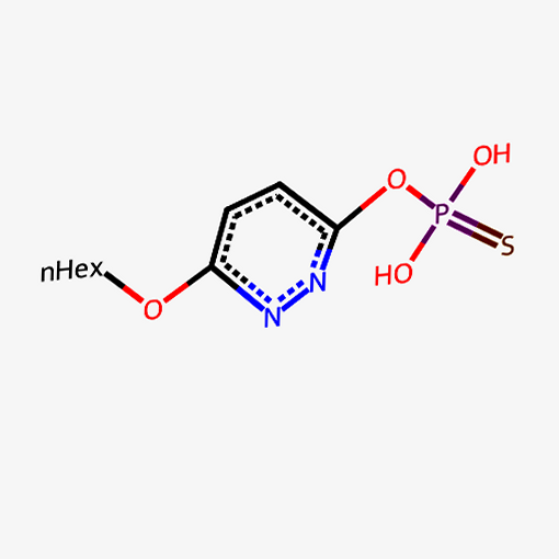 CCCCCCOc1ccc(OP(O)(O)=S)nn1